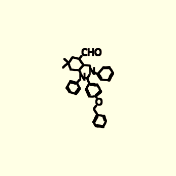 CC1(C)CC(C=O)C2CN(c3ccccc3)C(c3ccc(OCc4ccccc4)cc3)N(c3ccccc3)C2C1